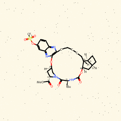 COC(=O)[C@@H]1C[C@@H]2CN1C(=O)[C@H](C(C)(C)C)NC(=O)O[C@@H]1C[C@@H]3CC[C@@H]3[C@H]1CCCCCc1nc3ccc(OS(=O)(=O)C(F)(F)F)cc3nc1O2